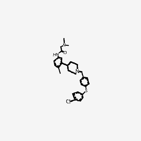 Cc1ccc(NC(=O)CN(C)C)cc1C1CCN(Cc2ccc(Sc3ccc(Cl)cc3)cc2)CC1